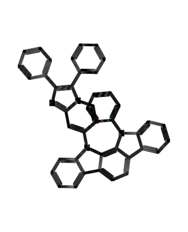 c1ccc(-c2nc3cc(-n4c5ccccc5c5ccc6c7ccccc7n(-c7ccccc7)c6c54)ccn3c2-c2ccccc2)cc1